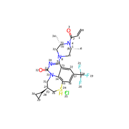 C=CC(=O)N1[C@H](C)CN(c2nc(=O)n3c4c(cc(C(F)(F)F)cc24)[SH](Cl)C[C@@H](C2CC2)C3)C[C@@H]1C